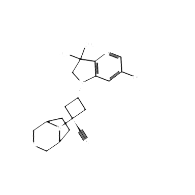 CC1(C)CN([C@H]2C[C@@](C#N)(N3C4CCC3COC4)C2)c2cc(Br)cnc21